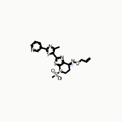 C=CCO/N=C1\CCN(S(C)(=O)=O)c2sc(-c3sc(-c4cccnc4)nc3C)nc21